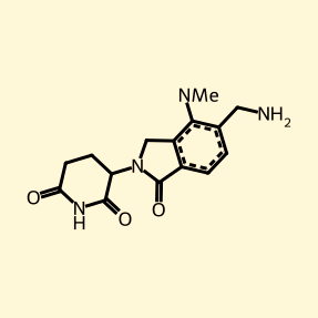 CNc1c(CN)ccc2c1CN(C1CCC(=O)NC1=O)C2=O